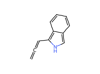 C=C=Cc1[nH]cc2ccccc12